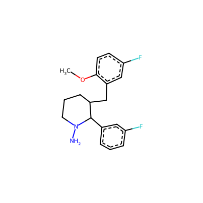 COc1ccc(F)cc1CC1CCCN(N)C1c1cccc(F)c1